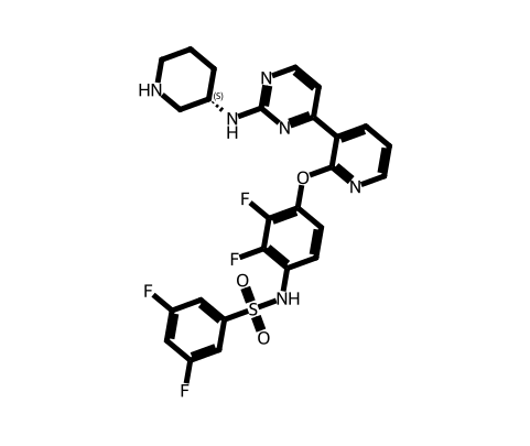 O=S(=O)(Nc1ccc(Oc2ncccc2-c2ccnc(N[C@H]3CCCNC3)n2)c(F)c1F)c1cc(F)cc(F)c1